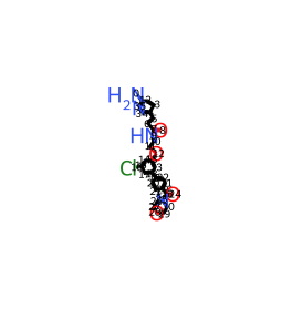 Nc1ccc(C=CC(=O)NCCOc2cc(Cl)cc(-c3ccc(C(=O)N4CCOCC4)cc3)c2)cn1